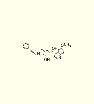 COc1ccc2nccc([C@@H](O)CC[C@@H]3CCN(CC#Cc4ccccc4)C[C@@H]3CO)c2c1